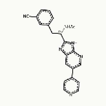 CC(=O)N[C@@H](Cc1cccc(C#N)c1)c1nc2cc(-c3ccncc3)cnc2[nH]1